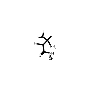 CCC(C(=O)NO)C(C)(N)C(F)F